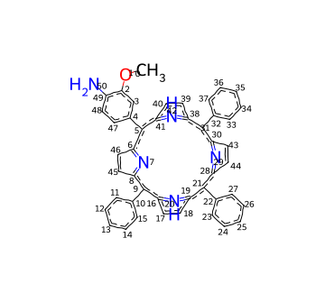 COc1cc(-c2c3nc(c(-c4ccccc4)c4ccc([nH]4)c(-c4ccccc4)c4nc(c(-c5ccccc5)c5ccc2[nH]5)C=C4)C=C3)ccc1N